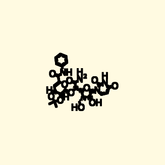 CC1(C)O[C@@H]2[C@@H](O[C@@H](C(N)=O)[C@H]3O[C@@H](n4ccc(=O)[nH]c4=O)[C@H](O)[C@@H]3CO)OC(C(=O)Nc3ccccc3)=C[C@@H]2O1